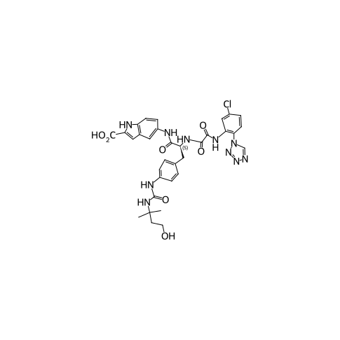 CC(C)(CCO)NC(=O)Nc1ccc(C[C@H](NC(=O)C(=O)Nc2cc(Cl)ccc2-n2cnnn2)C(=O)Nc2ccc3[nH]c(C(=O)O)cc3c2)cc1